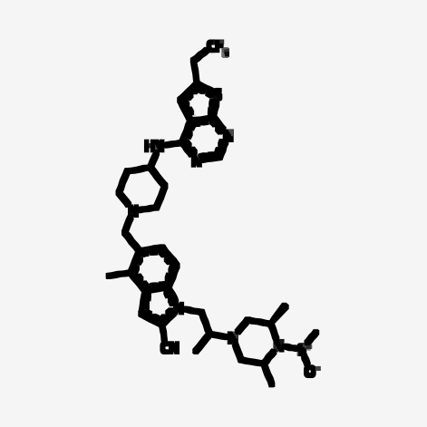 Cc1c(CN2CCC(Nc3ncnc4sc(CC(F)(F)F)cc34)CC2)ccc2c1cc(C#N)n2CC(C)N1CC(C)N([S+](C)[O-])[C@H](C)C1